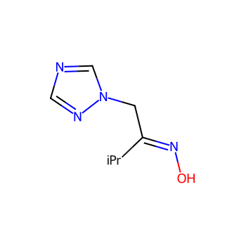 CC(C)/C(Cn1cncn1)=N\O